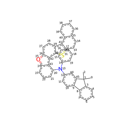 CC1(C)c2ccccc2-c2ccc(N(c3ccccc3)c3cccc4oc5ccc6c(sc7ccc8ccccc8c76)c5c34)cc21